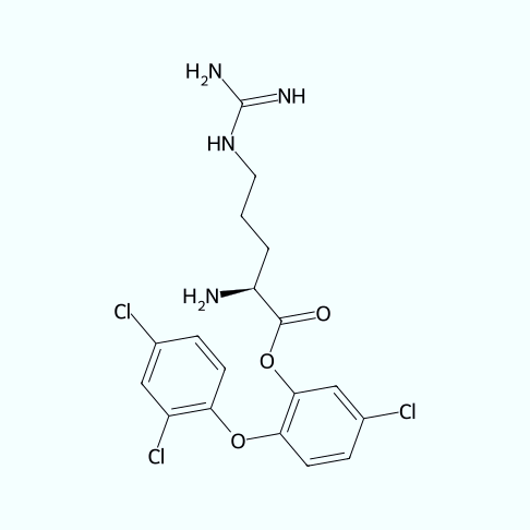 N=C(N)NCCC[C@H](N)C(=O)Oc1cc(Cl)ccc1Oc1ccc(Cl)cc1Cl